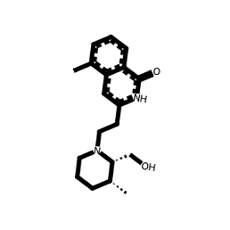 Cc1cccc2c(=O)[nH]c(CCN3CCC[C@@H](C)[C@H]3CO)cc12